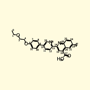 CCOCCOc1ccc(-c2ccc(-c3cc(C(=O)O)c4cc(F)ccc4n3)nc2)cc1